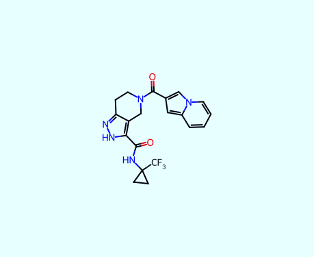 O=C(NC1(C(F)(F)F)CC1)c1[nH]nc2c1CN(C(=O)c1cc3ccccn3c1)CC2